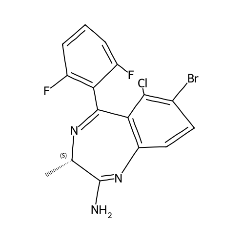 C[C@@H]1N=C(c2c(F)cccc2F)c2c(ccc(Br)c2Cl)N=C1N